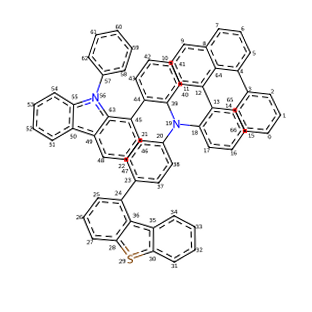 c1ccc(-c2cccc3cccc(-c4ccccc4N(c4ccc(-c5cccc6sc7ccccc7c56)cc4)c4ccccc4-c4cccc5c6ccccc6n(-c6ccccc6)c45)c23)cc1